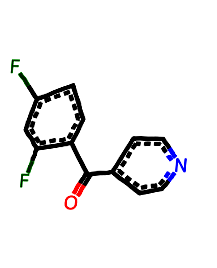 O=C(c1ccncc1)c1ccc(F)cc1F